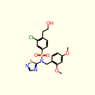 COc1ccc(CN(c2ncns2)S(=O)(=O)c2ccc(CCO)c(Cl)c2)c(OC)c1